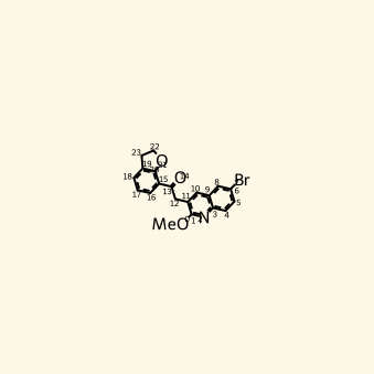 COc1nc2ccc(Br)cc2cc1CC(=O)c1cccc2c1OCC2